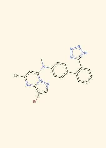 CCc1cc(N(C)c2ccc(-c3ccccc3-c3nnn[nH]3)cc2)n2ncc(Br)c2n1